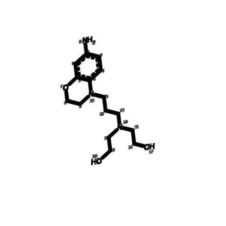 Nc1ccc2c(c1)OCCN2CCCN(CCO)CCO